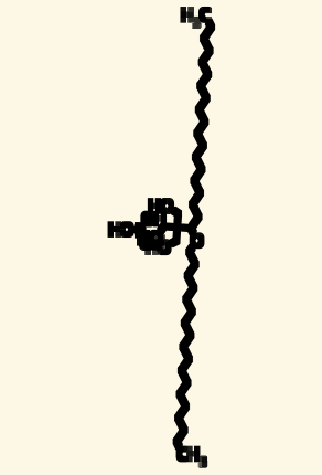 CCCCCCCCCCCCCCCCCCOC(CCCCCCCCCCCCCCCCCC)C(CO)(CO)CO.OP(O)O